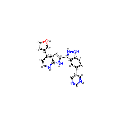 c1ncc(-c2ccc3[nH]nc(-c4cc5c(-c6ccoc6)ccnc5[nH]4)c3c2)cn1